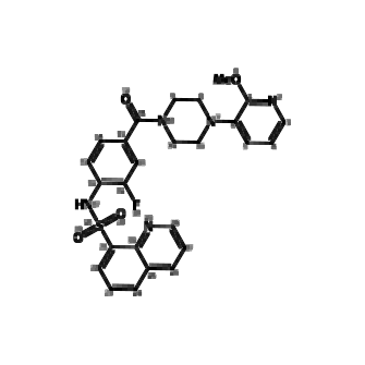 COc1ncccc1N1CCN(C(=O)c2ccc(NS(=O)(=O)c3cccc4cccnc34)c(F)c2)CC1